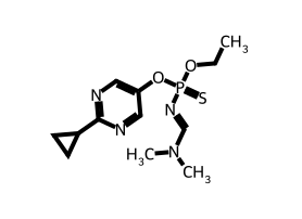 CCOP(=S)(N=CN(C)C)Oc1cnc(C2CC2)nc1